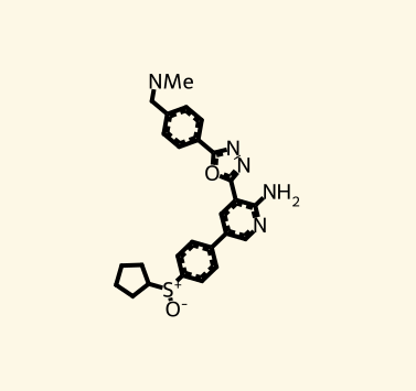 CNCc1ccc(-c2nnc(-c3cc(-c4ccc([S+]([O-])C5CCCC5)cc4)cnc3N)o2)cc1